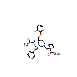 COC(=O)C1(CN2CCC(COc3ccccc3F)(CN(C(=O)C(F)(F)F)[C@@H]3C[C@H]3c3ccccc3)CC2)CCC1